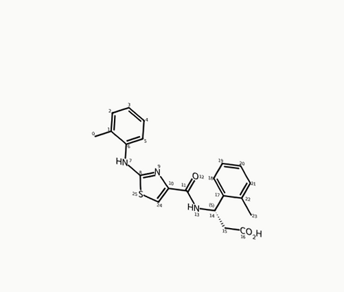 Cc1ccccc1Nc1nc(C(=O)N[C@@H](CC(=O)O)c2ccccc2C)cs1